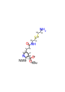 CNc1ncc(CCC(=O)NCCSSCCN)cc1C(=O)OC(C)(C)C